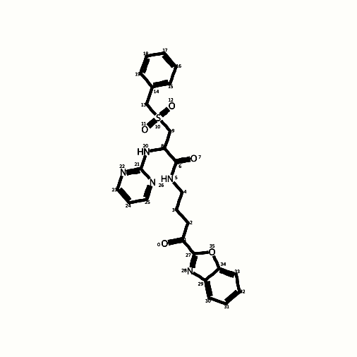 O=C(CCCNC(=O)C(CS(=O)(=O)Cc1ccccc1)Nc1ncccn1)c1nc2ccccc2o1